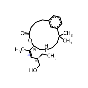 CC[C@H](/C=C(/C)[C@@H]1CPCCC(C)(C)c2cccc(c2)CCCC(=O)O1)CO